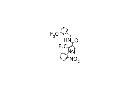 O=C(NCc1cccc(C(F)(F)F)c1)c1cnn(-c2ccccc2[N+](=O)[O-])c1C(F)(F)F